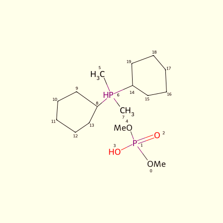 COP(=O)(O)OC.C[PH](C)(C1CCCCC1)C1CCCCC1